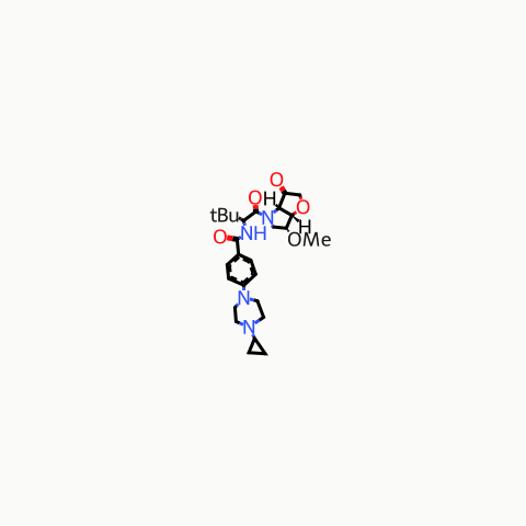 CO[C@@H]1CN(C(=O)C(NC(=O)c2ccc(N3CCN(C4CC4)CC3)cc2)C(C)(C)C)[C@@H]2C(=O)CO[C@@H]21